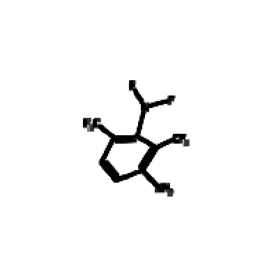 Nc1ccc(C(F)(F)F)c(N(F)F)c1C(F)(F)F